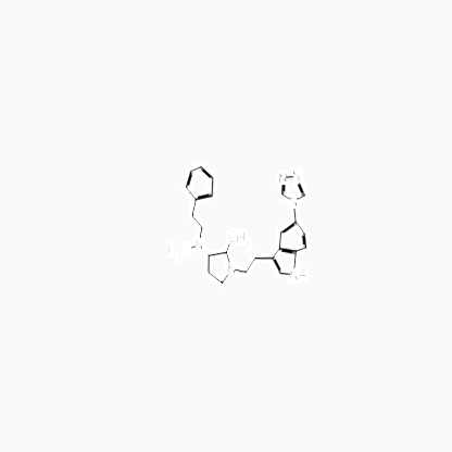 CC1[C@@H](N(C)CCc2ccccc2)CCN1CCc1c[nH]c2ccc(-n3cnnc3)cc12